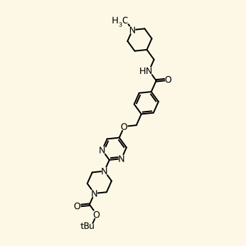 CN1CCC(CNC(=O)c2ccc(COc3cnc(N4CCN(C(=O)OC(C)(C)C)CC4)nc3)cc2)CC1